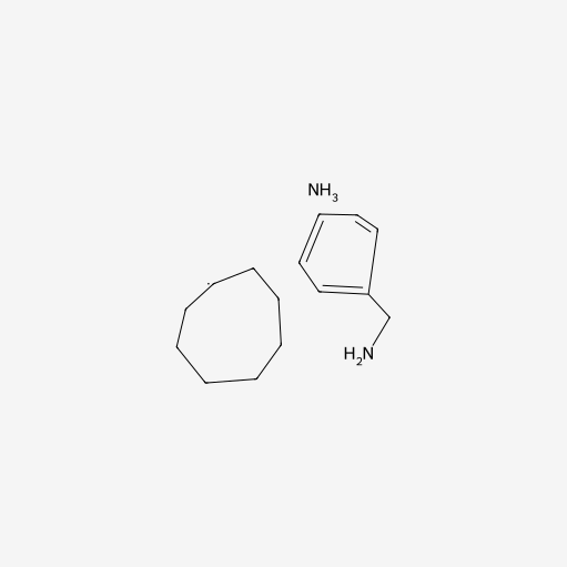 N.NCc1ccccc1.[CH]1CCCCCCC1